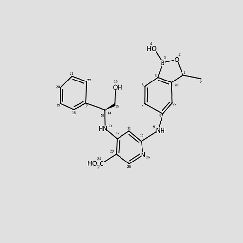 CC1OB(O)c2ccc(Nc3cc(N[C@H](CO)c4ccccc4)c(C(=O)O)cn3)cc21